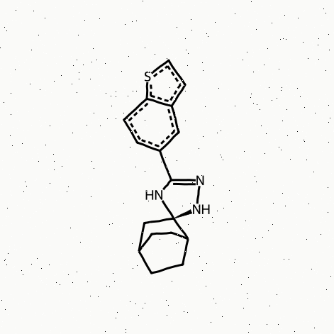 c1cc2cc(C3=NN[C@@]4(CC5CCC4CC5)N3)ccc2s1